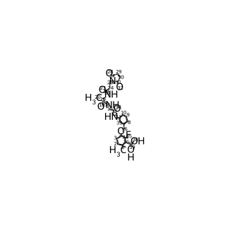 Cc1ccc(OCc2cccc(NC(=O)CNC(=O)C(C)NC(=O)CCN3C(=O)C=CC3=O)c2)c(F)c1C(O)O